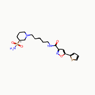 NS(=O)(=O)[C@H]1CCCN(CCCCCNC(=O)c2cc(-c3cccs3)on2)C1